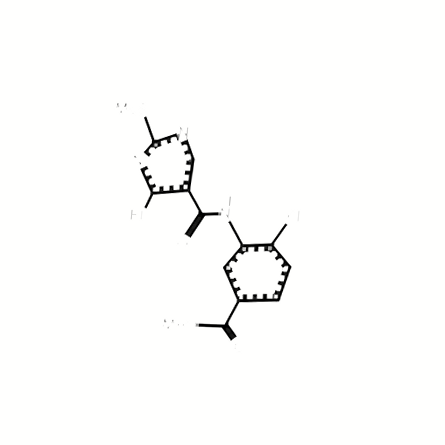 CCc1nc(SC)ncc1C(=O)Nc1cc(C(=O)OC)ccc1Cl